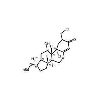 CCCCO[C@@H]1CC[C@H]2[C@@H]3CCC4=CC(=O)C(CCl)C[C@]4(C)[C@H]3[C@@H](O)C[C@]12C